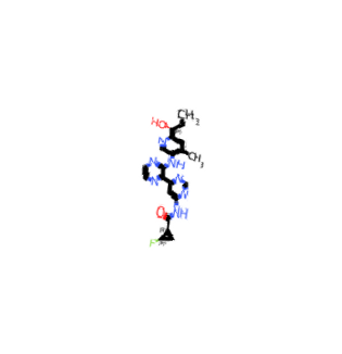 CC[C@@H](O)c1cc(C)c(Nc2nccnc2-c2cc(NC(=O)[C@H]3C[C@H]3F)ncn2)cn1